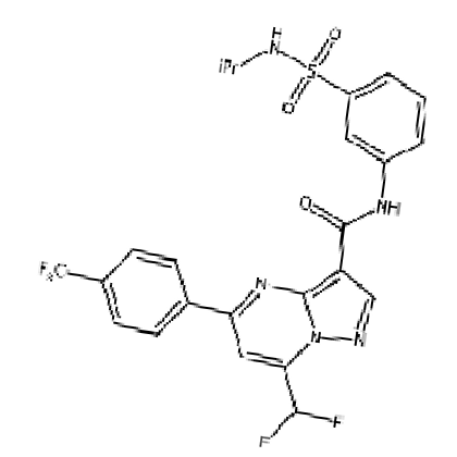 CC(C)NS(=O)(=O)c1cccc(NC(=O)c2cnn3c(C(F)F)cc(-c4ccc(C(F)(F)F)cc4)nc23)c1